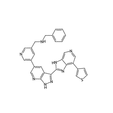 c1ccc(CNCc2cncc(-c3cnc4[nH]nc(-c5nc6c(-c7ccsc7)cncc6[nH]5)c4c3)c2)cc1